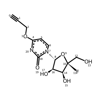 C#CCOc1ccn([C@@H]2O[C@](F)(CO)[C@@H](O)[C@H]2O)c(=O)n1